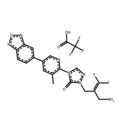 Cc1cc(-c2ccc3nonc3c2)cnc1-n1cnn(CC(CN)=C(F)F)c1=O.O=C(O)C(F)(F)F